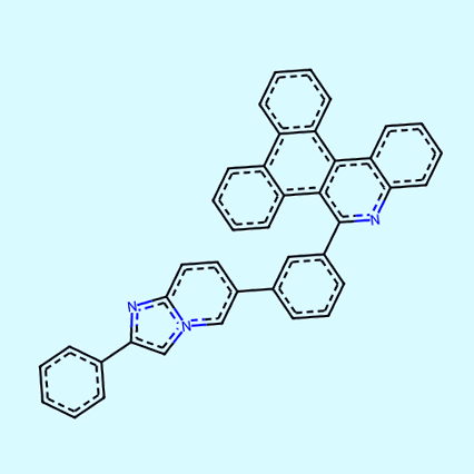 c1ccc(-c2cn3cc(-c4cccc(-c5nc6ccccc6c6c7ccccc7c7ccccc7c56)c4)ccc3n2)cc1